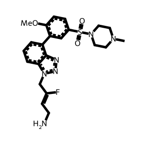 COc1ccc(S(=O)(=O)N2CCN(C)CC2)cc1-c1cccc2c1nnn2C/C(F)=C/CN